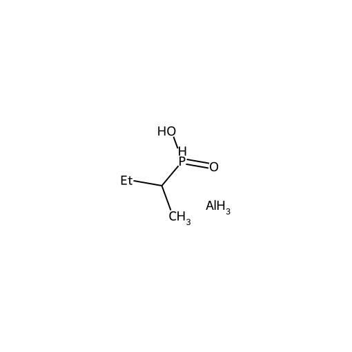 CCC(C)[PH](=O)O.[AlH3]